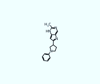 Cc1ncc2nc(C3CCN(c4ccccc4)C3)cc-2[nH]1